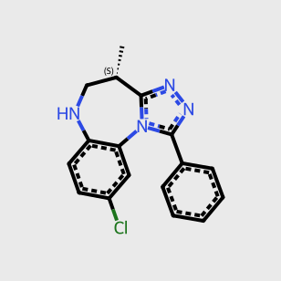 C[C@H]1CNc2ccc(Cl)cc2-n2c(-c3ccccc3)nnc21